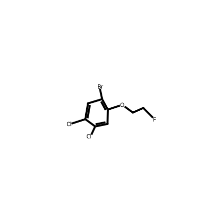 FCCOc1cc(Cl)c(Cl)cc1Br